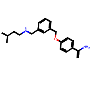 C=C(N)c1ccc(OCc2cccc(CNCCC(C)C)c2)cc1